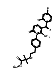 CC(C)(C)OC(=O)C(C)(C)NCCc1ccc(-n2c(N)c(C(=O)c3ccc(F)cc3F)ccc2=O)cc1